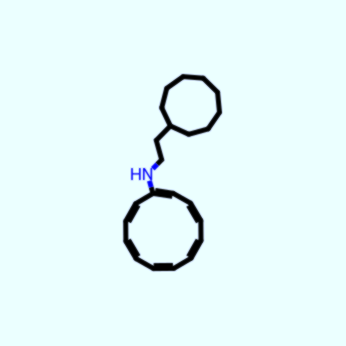 C1=C\C=C/C=C\C(NCCC2CCCCCCCC2)=C/C=C\C=C/1